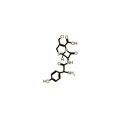 NC(C(=O)NC1C(=O)N2C(C(=O)O)=C(CCl)CS[C@@H]12)c1ccc(O)cc1